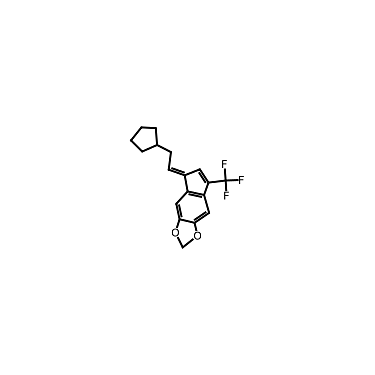 FC(F)(F)C1=C/C(=C\CC2CCCC2)c2cc3c(cc21)OCO3